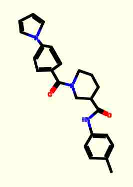 Cc1ccc(NC(=O)C2CCCN(C(=O)c3ccc(-n4cccc4)cc3)C2)cc1